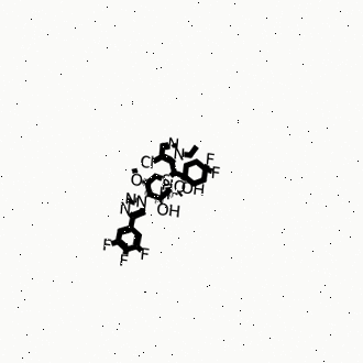 CCn1ncc(Cl)c1C([SH]1C[C@H](OC)[C@@H](n2cc(-c3cc(F)c(F)c(F)c3)nn2)[C@@H](O)[C@H]1CO)C1(O)CCC(F)(F)CC1